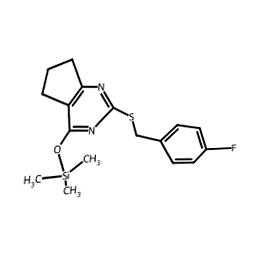 C[Si](C)(C)Oc1nc(SCc2ccc(F)cc2)nc2c1CCC2